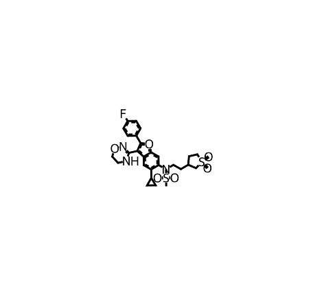 CS(=O)(=O)N(CCC1CCS(=O)(=O)C1)c1cc2oc(-c3ccc(F)cc3)c(C3=NOCCN3)c2cc1C1CC1